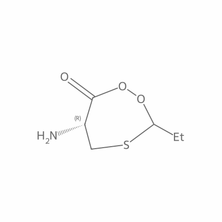 CCC1OOC(=O)[C@@H](N)CS1